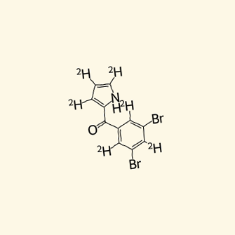 [2H]c1[nH]c(C(=O)c2c([2H])c(Br)c([2H])c(Br)c2[2H])c([2H])c1[2H]